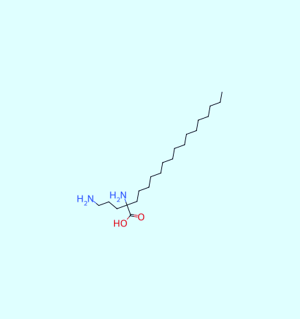 CCCCCCCCCCCCCCCCC(N)(CCCN)C(=O)O